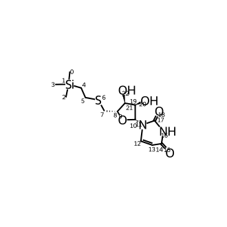 C[Si](C)(C)CCSC[C@H]1O[C@@H](n2ccc(=O)[nH]c2=O)[C@H](O)[C@@H]1O